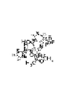 CC[C@H](NC(C)=O)c1nc2c(C(F)(F)F)cccc2c(O)c1C(=O)Nc1nccs1